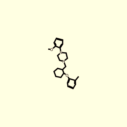 COc1ccccc1N1CCN(CC2CCCCC2Oc2ccccc2C)CC1